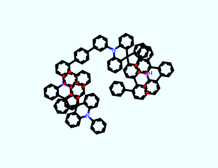 c1ccc(-c2ccccc2-c2ccc3c(c2Nc2ccccc2-c2ccccc2-c2cccc4ccccc24)-c2ccccc2C32c3ccccc3N(c3cccc(-c4ccc(-c5cccc(N(c6ccccc6-c6ccccc6-c6cccc7ccccc67)c6cccc7c6-c6ccccc6C76c7ccccc7N(c7ccccc7)c7ccccc76)c5)cc4)c3)c3ccccc32)cc1